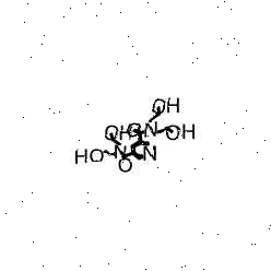 O=C(c1cncc(C(=O)N(CCO)CCO)c1)N(CCO)CCO